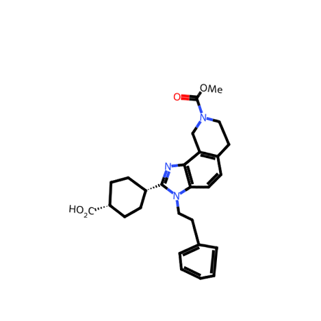 COC(=O)N1CCc2ccc3c(nc([C@H]4CC[C@@H](C(=O)O)CC4)n3CCc3ccccc3)c2C1